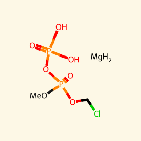 COP(=O)(OCCl)OP(=O)(O)O.[MgH2]